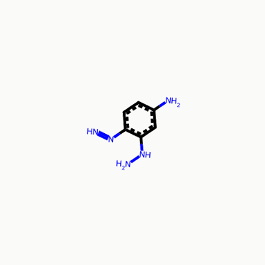 N=Nc1ccc(N)cc1NN